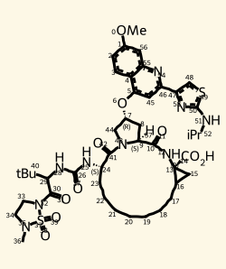 COc1ccc2c(O[C@@H]3C[C@H]4C(=O)N[C@]5(C(=O)O)CC5CCCCCCC[C@H](NC(=O)NC(C(=O)N5CCN(C)S5(=O)=O)C(C)(C)C)C(=O)N4C3)cc(-c3csc(NC(C)C)n3)nc2c1